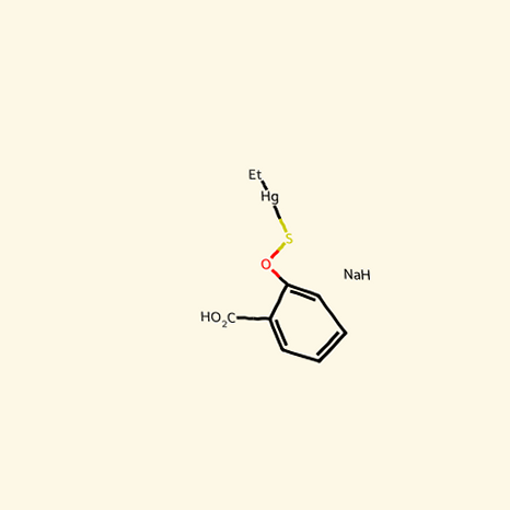 C[CH2][Hg][S]Oc1ccccc1C(=O)O.[NaH]